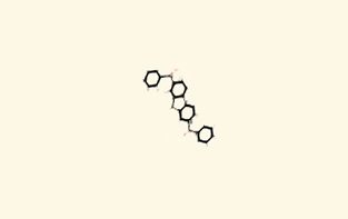 BC(c1ccccc1)c1ccc2c(c1)Cc1cc(C(B)c3ccccc3)ccc1-2